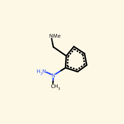 CNCc1ccccc1N(C)N